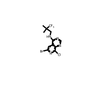 CC(C)(CNc1ncnc2c(Cl)nc(Br)cc12)C(F)(F)F